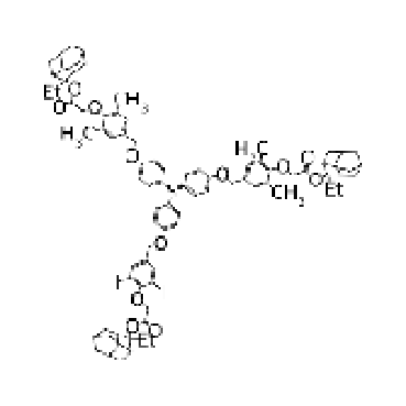 CCC1(OC(=O)COc2c(C)cc(COc3ccc([S+](c4ccc(OCc5cc(C)c(OCC(=O)OC6(CC)C7CC8CC(C7)CC6C8)c(C)c5)cc4)c4ccc(OCc5cc(I)c(OCC(=O)OC6(CC)C7CC8CC(C7)CC6C8)c(I)c5)cc4)cc3)cc2C)C2CC3CC(C2)CC1C3